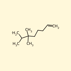 [CH2]C(C)C(C)(C)CCCC=C